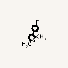 CC1=C=CC(c2ccc(F)cc2)=C(C)S1